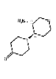 N[C@@H]1COCC[C@H]1N1CCC(=O)CC1